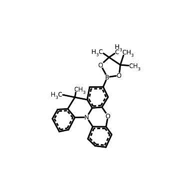 CC1(C)c2ccccc2N2c3ccccc3Oc3cc(B4OC(C)(C)C(C)(C)O4)cc1c32